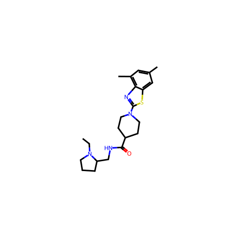 CCN1CCCC1CNC(=O)C1CCN(c2nc3c(C)cc(C)cc3s2)CC1